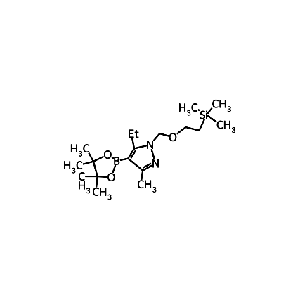 CCc1c(B2OC(C)(C)C(C)(C)O2)c(C)nn1COCC[Si](C)(C)C